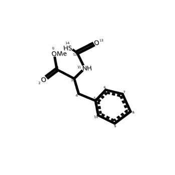 COC(=O)C(Cc1ccccc1)NC(=O)S